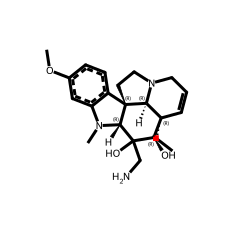 CC[C@]12C=CCN3CC[C@@]4(c5ccc(OC)cc5N(C)[C@H]4C(O)(CN)[C@@H]1O)[C@@H]32